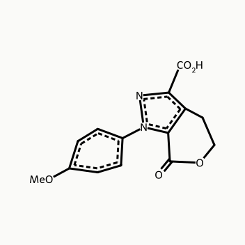 COc1ccc(-n2nc(C(=O)O)c3c2C(=O)OCC3)cc1